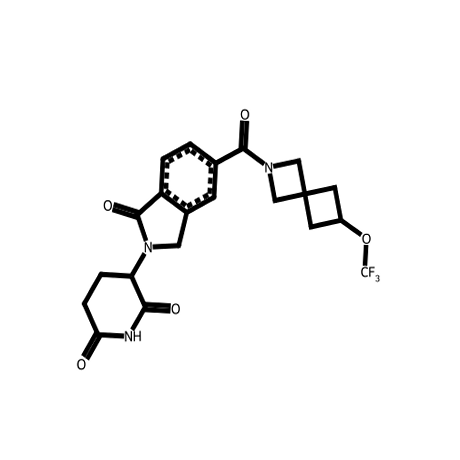 O=C1CCC(N2Cc3cc(C(=O)N4CC5(CC(OC(F)(F)F)C5)C4)ccc3C2=O)C(=O)N1